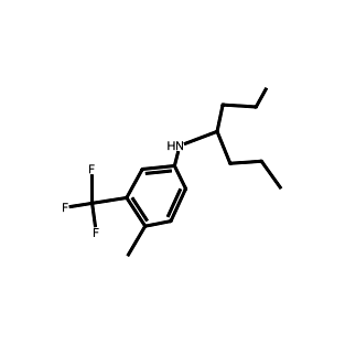 CCCC(CCC)Nc1ccc(C)c(C(F)(F)F)c1